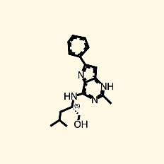 Cc1nc(N[C@H](CO)CC(C)C)c2nc(-c3ccccc3)cc-2[nH]1